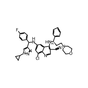 N#Cc1cnc2c(Cl)cc(NC(c3ccc(F)cc3)c3cn(C4CC4)nn3)cc2c1N[C@H](CCN1CCOCC1)c1ccccc1